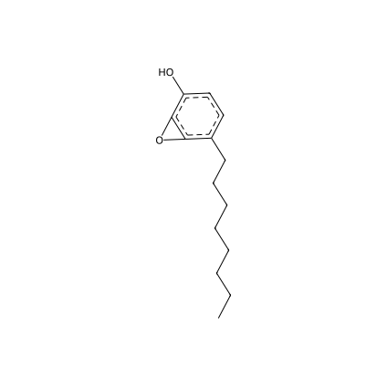 CCCCCCCCc1ccc(O)c2c1O2